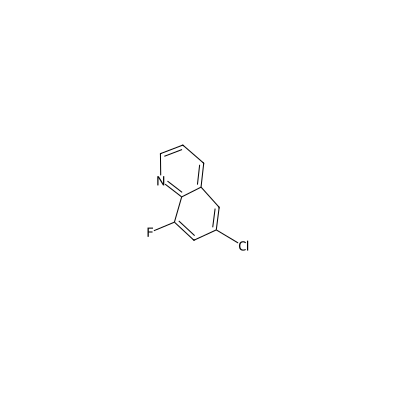 Fc1cc(Cl)cc2cccnc12